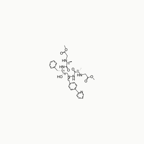 COC(=O)CN[C@@H](C)C(=O)N[C@@H](Cc1ccccc1)[C@@H](O)CN(Cc1ccc(-c2ccccn2)cc1)NC(=O)[C@H](C)NCC(=O)OC